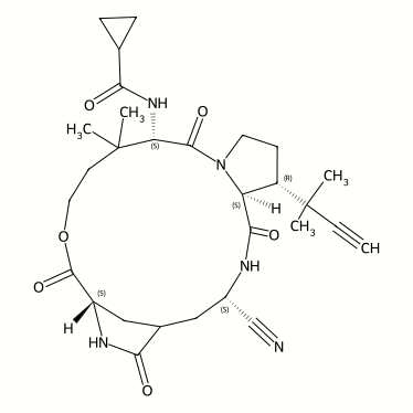 C#CC(C)(C)[C@H]1CCN2C(=O)[C@@H](NC(=O)C3CC3)C(C)(C)CCOC(=O)[C@@H]3CC(C[C@@H](C#N)NC(=O)[C@H]12)C(=O)N3